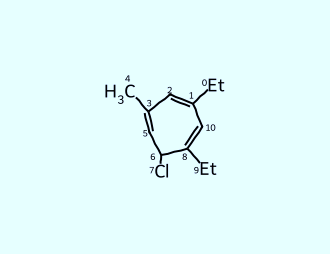 CCC1=CC(C)=CC(Cl)C(CC)=C1